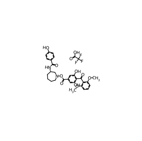 COc1cccc(OC)c1C(=O)c1c(O)cc(C(=O)ON2CCCC[C@@H](NC(=O)c3ccc(O)cc3)C2)cc1O.O=C(O)C(F)(F)F